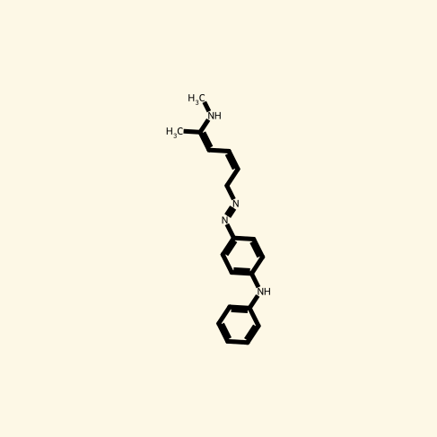 CN/C(C)=C\C=C/C/N=N/c1ccc(Nc2ccccc2)cc1